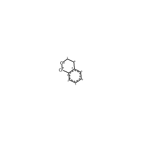 c1cc[c]2c(c1)CC[O][Cr]2